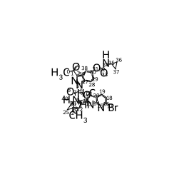 CC(=O)c1nn(CC(=O)N2[C@H](C(=O)Nc3nc(Br)ccc3C)C[C@@]3(C)C[C@@H]23)c2ccc(OC(=O)NC3CC3)cc12